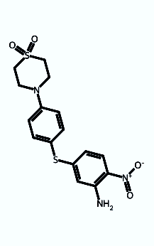 Nc1cc(Sc2ccc(N3CCS(=O)(=O)CC3)cc2)ccc1[N+](=O)[O-]